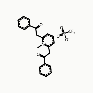 C[n+]1c(CC(=O)c2ccccc2)cccc1CC(=O)c1ccccc1.O=S(=O)([O-])C(F)(F)F